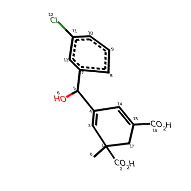 CC1(C(=O)O)C=C(C(O)c2cccc(Cl)c2)C=C(C(=O)O)C1